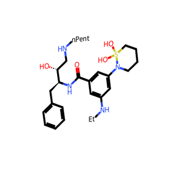 CCCCCNC[C@@H](O)[C@H](Cc1ccccc1)NC(=O)c1cc(NCC)cc(N2CCCCS2(O)O)c1